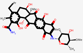 CO[C@@H]1[C@@H](O)[C@@H](OC)[C@@H](NC2=CC(=O)c3c(cc4c(c3O)C(=O)[C@]3(OC)[C@H](O)Cc5c(CC(C)C)c(C)c(C(N)=O)c(O)c5[C@]3(O)C4=O)C2=O)O[C@H]1C